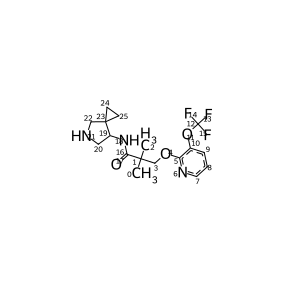 CC(C)(COc1ncccc1OC(F)(F)F)C(=O)NC1CNCC12CC2